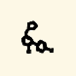 Clc1ccc(-c2cc(CN3CCCC3)ccc2Cl)cc1